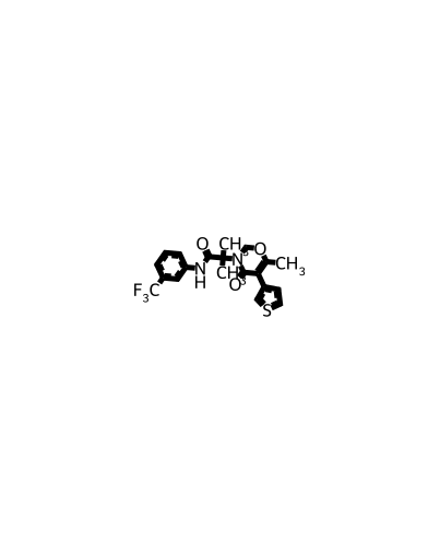 CC1=C(c2ccsc2)C(=O)N(C(C)(C)C(=O)Nc2cccc(C(F)(F)F)c2)CO1